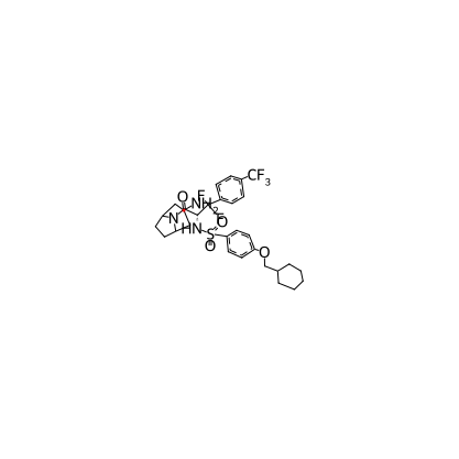 NC1CC2CCC(C1)N2C(=O)[C@@H](NS(=O)(=O)c1ccc(OCC2CCCCC2)cc1)C(F)(F)c1ccc(C(F)(F)F)cc1